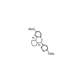 COc1ccc([C@@H]2Cc3ccc(OC)cc3[C@@H]3CCCC[C@H]23)cc1